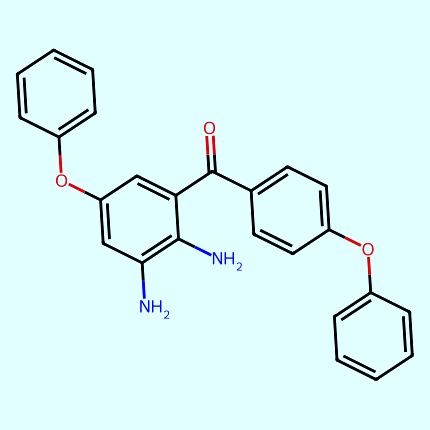 Nc1cc(Oc2ccccc2)cc(C(=O)c2ccc(Oc3ccccc3)cc2)c1N